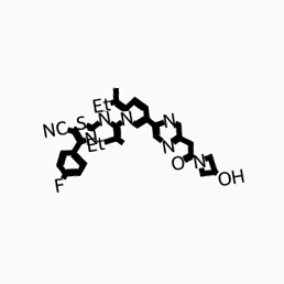 CC/C(C)=C1/C=CC(c2cnc(CC(=O)N3CC(O)C3)cn2)=CN1/C(=C(\C)CC)N(C)c1nc(-c2ccc(F)cc2)c(C#N)s1